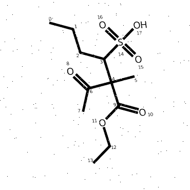 CCCC(C(C)(C(C)=O)C(=O)OCC)S(=O)(=O)O